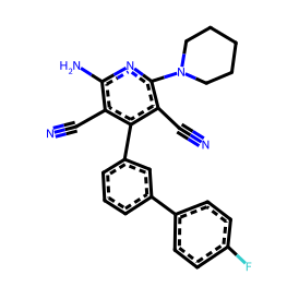 N#Cc1c(N)nc(N2CCCCC2)c(C#N)c1-c1cccc(-c2ccc(F)cc2)c1